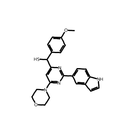 COc1ccc(C(S)c2cc(N3CCOCC3)nc(-c3ccc4[nH]ccc4c3)n2)cc1